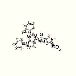 O=C(Nc1nc(-c2ccccc2F)nc2c1cnn2-c1ccccc1)c1ccc([N+](=O)[O-])s1